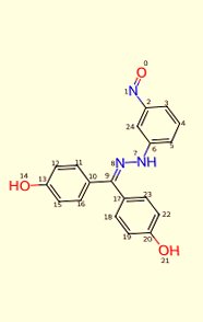 O=Nc1cccc(NN=C(c2ccc(O)cc2)c2ccc(O)cc2)c1